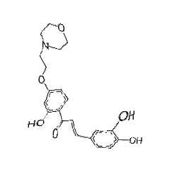 O=C(/C=C/c1ccc(O)c(O)c1)c1ccc(OCCN2CCOCC2)cc1O